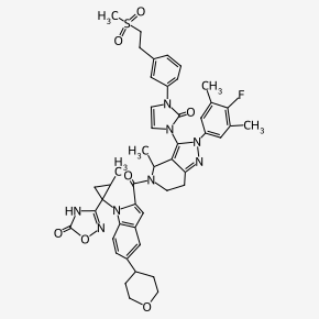 Cc1cc(-n2nc3c(c2-n2ccn(-c4cccc(CCS(C)(=O)=O)c4)c2=O)C(C)N(C(=O)c2cc4cc(C5CCOCC5)ccc4n2C2(c4noc(=O)[nH]4)CC2C)CC3)cc(C)c1F